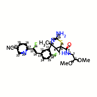 COC(CNC(=O)C12CC1C(C)(c1cc(C=C(F)c3ccc(C#N)cn3)ccc1F)N=C(N)S2)OC